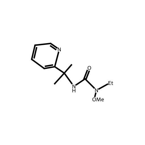 CCN(OC)C(=O)NC(C)(C)c1ccccn1